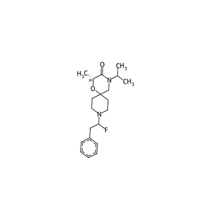 CC(C)N1CC2(CCN(C(F)Cc3ccccc3)CC2)O[C@H](C)C1=O